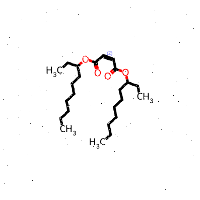 CCCCCCCC(CC)OC(=O)/C=C\C(=O)OC(CC)CCCCCCC